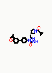 Cc1coc2ccc(-c3ccc(-n4c(C[C@@H]5CCN(C(=O)C6CC6)C5)n[nH]c4=O)cc3)cc12